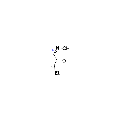 CCOC(=O)/C=N\O